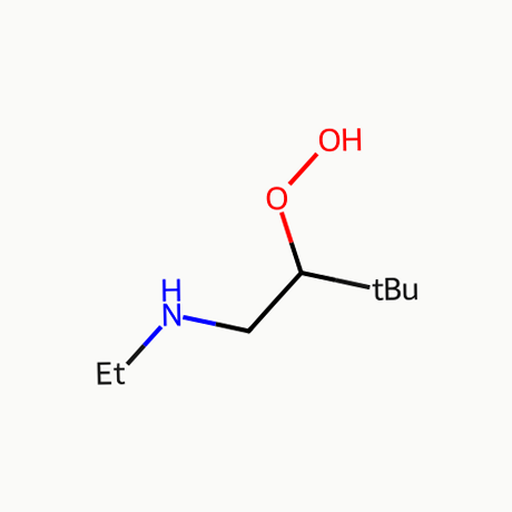 CCNCC(OO)C(C)(C)C